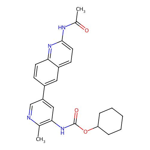 CC(=O)Nc1ccc2cc(-c3cnc(C)c(NC(=O)OC4CCCCC4)c3)ccc2n1